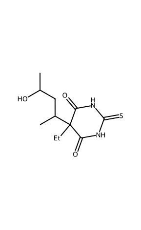 CCC1(C(C)CC(C)O)C(=O)NC(=S)NC1=O